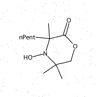 CCCCCC1(C)C(=O)OCC(C)(C)N1O